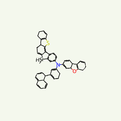 C[SiH]1C2=CCC3C4=C(C=CCC4)SC3=C2c2ccc(N(C3=CC4OC5=C(C=CCC5)C4C=C3)C3=CC(C4C=CC=C5C=CC=CC54)=CCC3)cc21